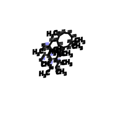 C\C=C/C(C(=C/CC)/C(=C(/C)CC)N(C)C)=C(C)\C(=C/C)CC1CCCC(C)(C)CCCC1C